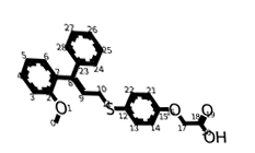 COc1ccccc1C(=CCSc1ccc(OCC(=O)O)cc1)c1ccccc1